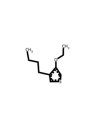 CCCCc1cscc1OCC